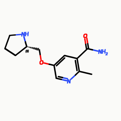 Cc1ncc(OC[C@@H]2CCCN2)cc1C(N)=O